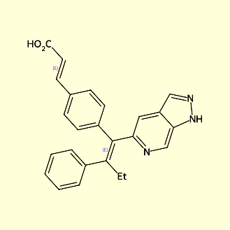 CC/C(=C(/c1ccc(/C=C/C(=O)O)cc1)c1cc2cn[nH]c2cn1)c1ccccc1